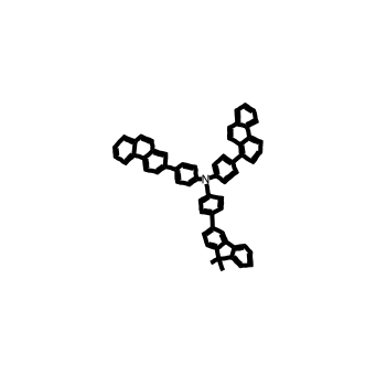 CC1(C)c2ccccc2-c2cc(-c3ccc(N(c4ccc(-c5ccc6c(ccc7ccccc76)c5)cc4)c4ccc(-c5cccc6c5ccc5ccccc56)cc4)cc3)ccc21